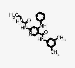 CCNC(=O)Nc1cc(Nc2ccccc2)c(C(=O)Nc2cc(C)cc(C)c2)cn1